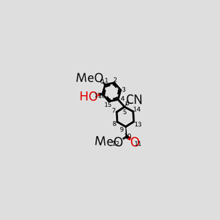 COc1ccc([C@]2(C#N)CC[C@H](C(=O)OC)CC2)cc1O